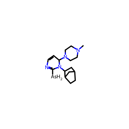 CN1CCN(C2C=CN=C([AsH2])N2C2CC3CCC2C3)CC1